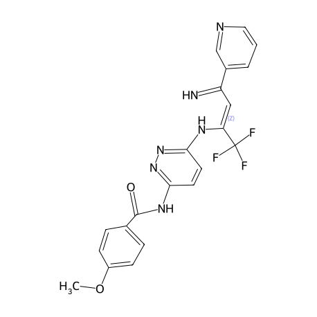 COc1ccc(C(=O)Nc2ccc(N/C(=C\C(=N)c3cccnc3)C(F)(F)F)nn2)cc1